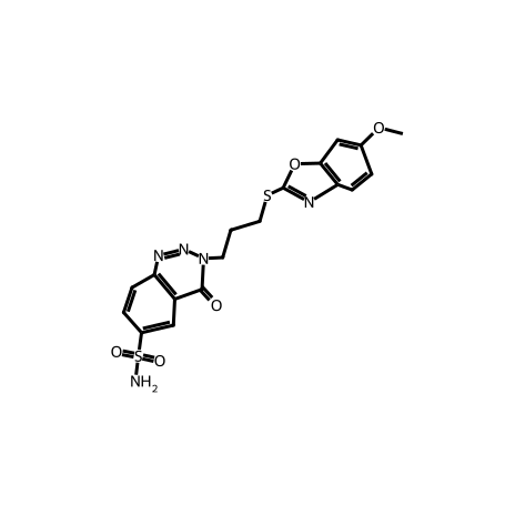 COc1ccc2nc(SCCCn3nnc4ccc(S(N)(=O)=O)cc4c3=O)oc2c1